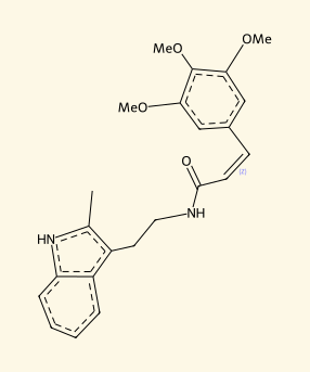 COc1cc(/C=C\C(=O)NCCc2c(C)[nH]c3ccccc23)cc(OC)c1OC